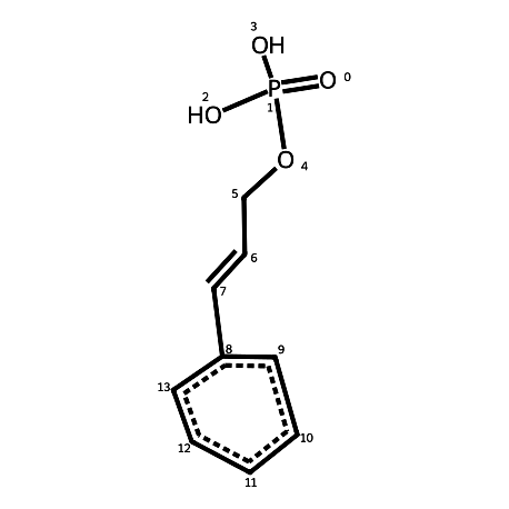 O=P(O)(O)OCC=Cc1ccccc1